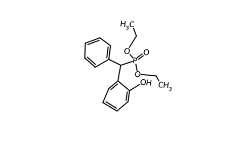 CCOP(=O)(OCC)C(c1ccccc1)c1ccccc1O